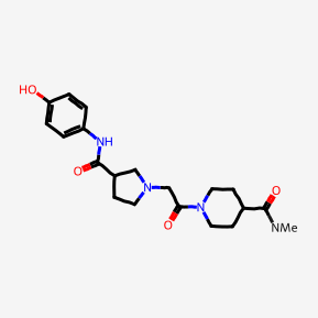 CNC(=O)C1CCN(C(=O)CN2CCC(C(=O)Nc3ccc(O)cc3)C2)CC1